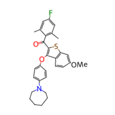 COc1ccc2c(Oc3ccc(N4CCCCCC4)cc3)c(C(=O)c3c(C)cc(F)cc3C)sc2c1